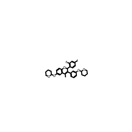 CC1=C(c2cccc(OC3CCCCO3)c2)C(c2ccc(I)cc2F)Oc2ccc(OC3CCCCO3)cc21